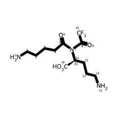 NCCCCC(=O)N(C(=O)C(F)(F)F)[C@@H](CCCN)C(=O)O